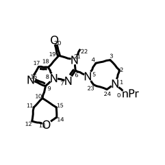 CCCN1CCCN(c2nn3c(C4CCOCC4)ncc3c(=O)n2C)CC1